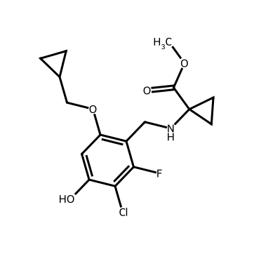 COC(=O)C1(NCc2c(OCC3CC3)cc(O)c(Cl)c2F)CC1